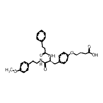 COc1ccc(CCNC(=O)[C@H](Cc2ccc(OCCCC(=O)O)cc2)NC(=O)CCc2ccccc2)cc1